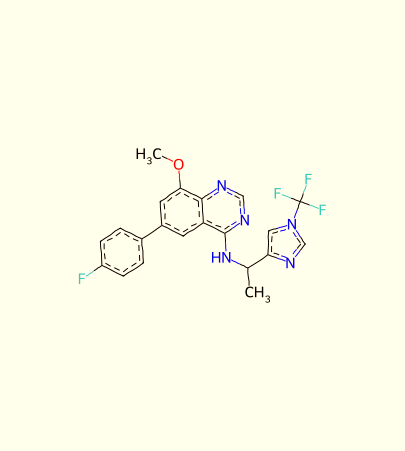 COc1cc(-c2ccc(F)cc2)cc2c(NC(C)c3cn(C(F)(F)F)cn3)ncnc12